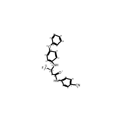 N#Cc1ccc(NC(=O)C[C@H](Nc2ccc(Oc3ccccc3)cc2)C(F)(F)F)cc1